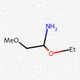 CCOC(N)COC